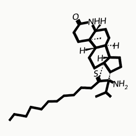 CCCCCCCCCCCC(=S)C(N)(C(C)C)[C@H]1CC[C@H]2[C@@H]3CC[C@H]4NC(=O)CC[C@]4(C)[C@H]3CC[C@]12C